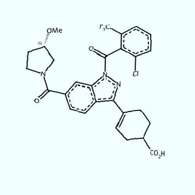 CO[C@H]1CCN(C(=O)c2ccc3c(C4=CCC(C(=O)O)CC4)nn(C(=O)c4c(Cl)cccc4C(F)(F)F)c3c2)C1